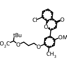 COc1cc(C)c(OCCCOC(C(=O)O)C(C)(C)C)cc1-c1cc(=O)c2cccc(Cl)c2o1